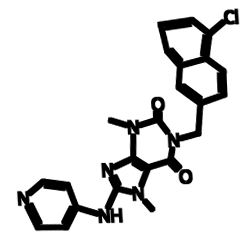 Cn1c(Nc2ccncc2)nc2c1c(=O)n(Cc1ccc3c(Cl)cccc3c1)c(=O)n2C